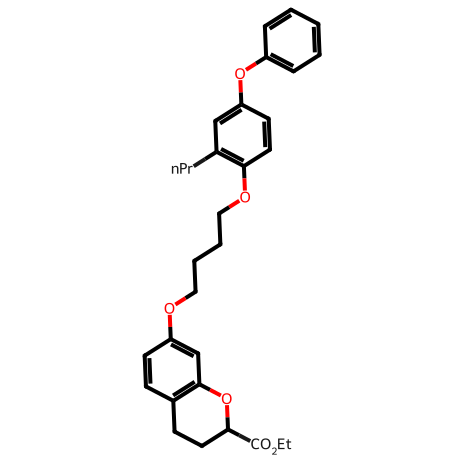 CCCc1cc(Oc2ccccc2)ccc1OCCCCOc1ccc2c(c1)OC(C(=O)OCC)CC2